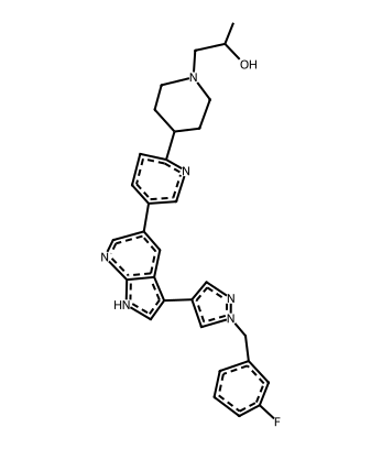 CC(O)CN1CCC(c2ccc(-c3cnc4[nH]cc(-c5cnn(Cc6cccc(F)c6)c5)c4c3)cn2)CC1